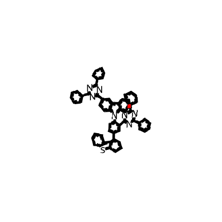 c1ccc(-c2nc(-c3ccccc3)nc(-c3ccc4c(c3)c3ccccc3n4-c3ccc(-c4cccc5sc6ccccc6c45)cc3-c3nc(-c4ccccc4)nc(-c4ccccc4)n3)n2)cc1